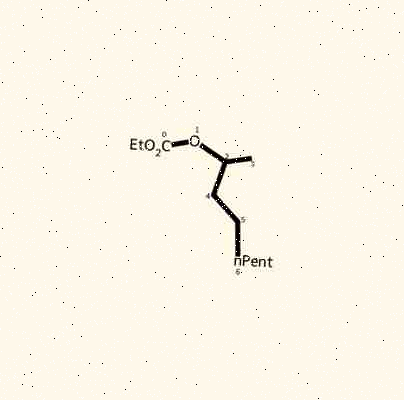 [CH2]COC(=O)OC(C)CCCCCCC